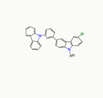 CCCn1c2ccc(Br)cc2c2cc(-c3cccc(-n4c5ccccc5c5ccccc54)c3)ccc21